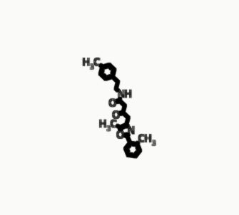 Cc1ccc(CCNC(=O)CC(=O)Cc2nc(-c3ccccc3C)oc2C)cc1